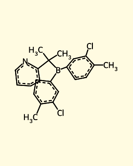 Cc1ccc(B(c2ccc(C)c(Cl)c2)C(C)(C)c2ccccn2)cc1Cl